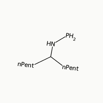 CCCCCC(CCCCC)NP